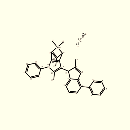 CC1=Cc2c(-c3ccccc3)cccc2C1c1c2c(n(-c3ccccc3)c1C)C1=C(C)C2[Si]1(C)C.[Cl-].[Cl-].[Zr+2]